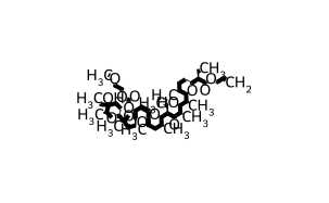 C=CCOC(=O)[C@H](CC)[C@H]1CC[C@H](C)[C@H]([C@@H](C)[C@H](O)[C@H](C)C(=O)[C@H](CC)[C@H]2O[C@]3(C=C[C@@H](OC(=O)OCCOC)[C@]4(CC[C@@](C)([C@H]5CC[C@](O)(CC)[C@H](C)O5)O4)O3)[C@H](C)C[C@@H]2C)O1